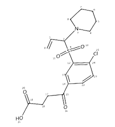 C=CC(N1CCCCC1)S(=O)(=O)c1cc(C(=O)CCC(=O)O)ccc1Cl